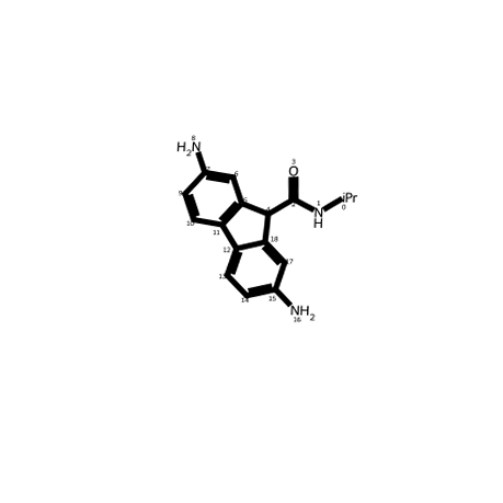 CC(C)NC(=O)C1c2cc(N)ccc2-c2ccc(N)cc21